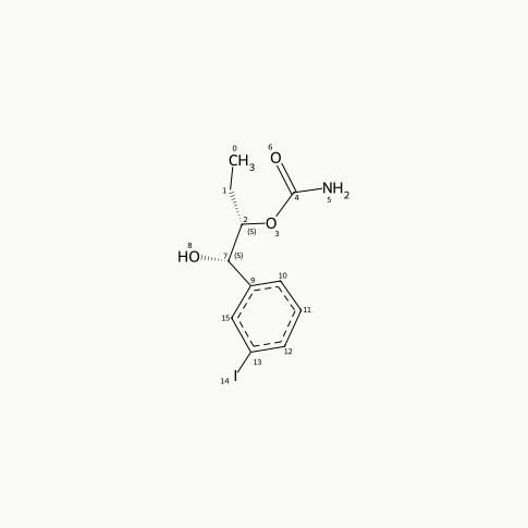 CC[C@H](OC(N)=O)[C@@H](O)c1cccc(I)c1